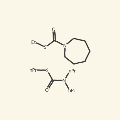 CCCSC(=O)N(CCC)CCC.CCSC(=O)N1CCCCCC1